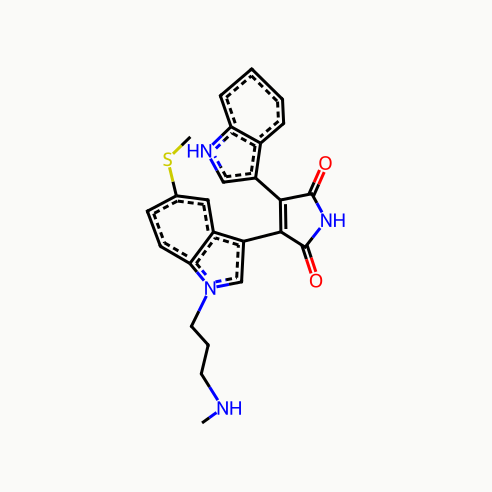 CNCCCn1cc(C2=C(c3c[nH]c4ccccc34)C(=O)NC2=O)c2cc(SC)ccc21